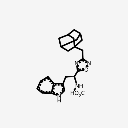 O=C(O)N[C@@H](Cc1c[nH]c2ccccc12)c1nc(CC23CC4CC(CC(C4)C2)C3)no1